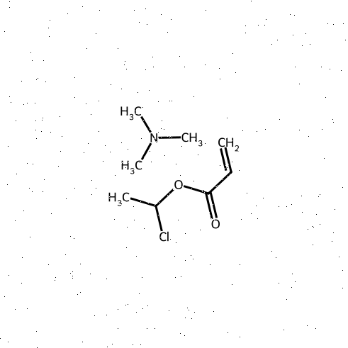 C=CC(=O)OC(C)Cl.CN(C)C